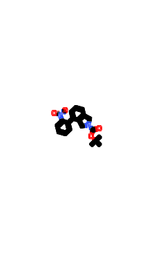 CC(C)(C)OC(=O)N1Cc2cccc(-c3ccccc3[N+](=O)[O-])c2C1